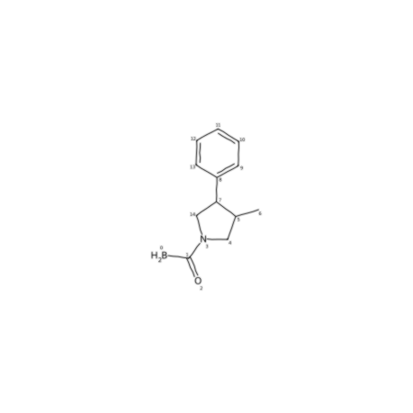 BC(=O)N1CC(C)C(c2ccccc2)C1